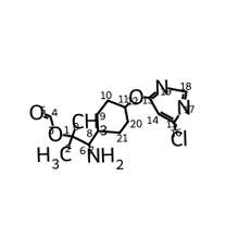 CC(C)(OC=O)C(N)C1CCC(Oc2cc(Cl)ncn2)CC1